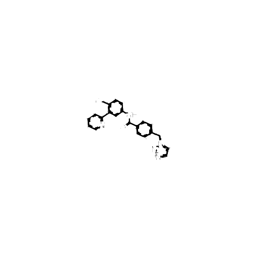 O=C(Nc1ccc(Cl)c(-c2ccccn2)c1)c1ccc(Cn2ccnn2)cc1